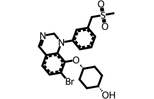 CS(=O)(=O)Cc1cccc(N2CN=Cc3ccc(Br)c(O[C@H]4CC[C@@H](O)CC4)c32)c1